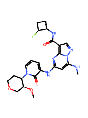 CNc1cc(Nc2cccn([C@@H]3CCOC[C@@H]3OC)c2=O)nc2c(C(=O)NC3CC[C@@H]3F)cnn12